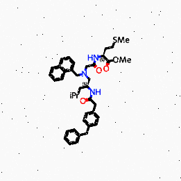 COC(=O)[C@H](CCSC)NC(=O)CN(Cc1cccc2ccccc12)C[C@H](CC(C)C)NC(=O)Cc1ccc(Cc2ccccc2)cc1